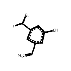 [CH2]CC(F)c1cc(O)cc(C=C)c1